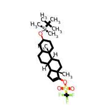 CC(C)(C)[Si](C)(C)O[C@H]1CC[C@@]2(C)C(CC[C@H]3C4CC=C(OS(=O)(=O)C(F)(F)F)[C@@]4(C)CC[C@@H]32)C1